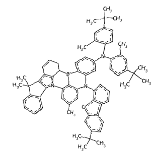 Cc1cc2c3c(c1)-n1c4c(c5c1C(CC=C5)B3c1ccc(N(c3ccc(C(C)(C)C)cc3C)c3ccc(C(C)(C)C)cc3C)cc1N2c1cccc2c1oc1cc(C(C)(C)C)ccc12)C(C)(C)c1ccccc1-4